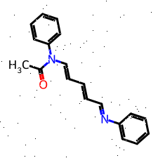 CC(=O)N(C=CC=CC=Nc1ccccc1)c1ccccc1